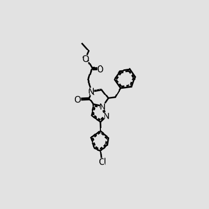 CCOC(=O)CN1CC(Cc2ccccc2)n2nc(-c3ccc(Cl)cc3)cc2C1=O